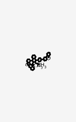 C/C=C\c1c(CCC)c(-c2ccc(-c3ccc4oc5ccccc5c4c3)cc2)c2ccccc2c1-c1cccc2oc3cc4ccccc4cc3c12